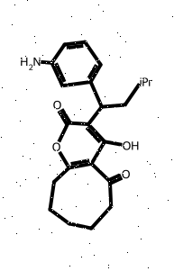 CC(C)CC(c1cccc(N)c1)c1c(O)c2c(oc1=O)CCCCCC2=O